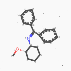 CO[C@H]1CCCC[C@@H]1N=C(c1ccccc1)c1ccccc1